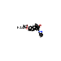 CC(C)C1=C2[C@H]3CCC4[C@@]5(C)CC[C@H](OC(=O)CC(C)(C)C(=O)O)C(C)(C)C5CC[C@@]4(C)[C@]3(C)CC[C@@]2(CCNCc2ccccc2)CC1=O